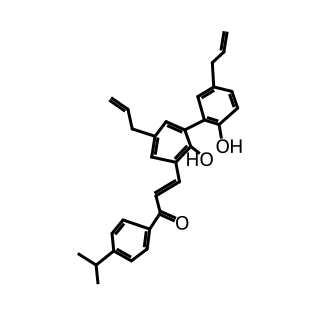 C=CCc1ccc(O)c(-c2cc(CC=C)cc(C=CC(=O)c3ccc(C(C)C)cc3)c2O)c1